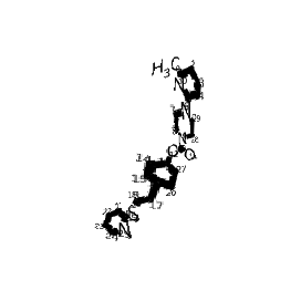 Cc1cccc(N2CCN(C(=O)Oc3ccc(CCSc4ccccn4)cc3)CC2)n1